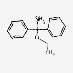 CCOC([SiH3])(c1ccccc1)c1ccccc1